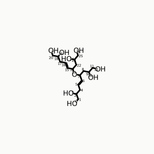 OCC(O)CC=CC(CC(O)CO)OC(C=CCC(O)CO)CC(O)CO